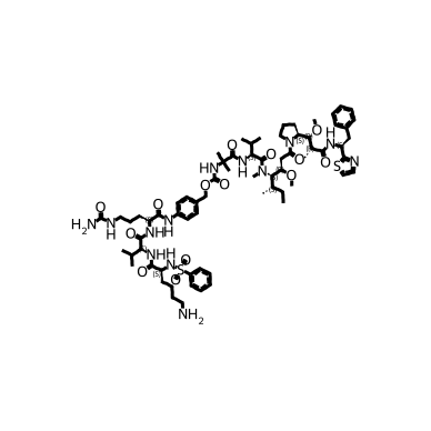 CC[C@H](C)[C@@H]([C@@H](CC(=O)N1CCC[C@H]1[C@H](OC)[C@@H](C)C(=O)N[C@@H](Cc1ccccc1)c1nccs1)OC)N(C)C(=O)[C@@H](NC(=O)C(C)(C)NC(=O)OCc1ccc(NC(=O)[C@H](CCCNC(N)=O)NC(=O)[C@@H](NC(=O)[C@H](CCCCN)NS(=O)(=O)c2ccccc2)C(C)C)cc1)C(C)C